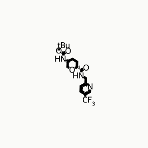 CC(C)(C)OC(=O)N[C@H]1CC[C@H](C(=O)NCc2ccc(C(F)(F)F)cn2)OC1